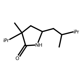 CC(C)C(C)CC1CC(C)(C(C)C)C(=O)N1